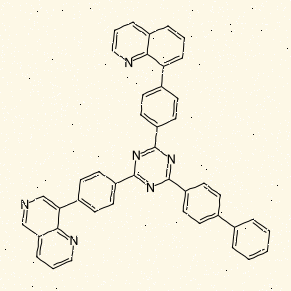 c1ccc(-c2ccc(-c3nc(-c4ccc(-c5cccc6cccnc56)cc4)nc(-c4ccc(-c5cncc6cccnc56)cc4)n3)cc2)cc1